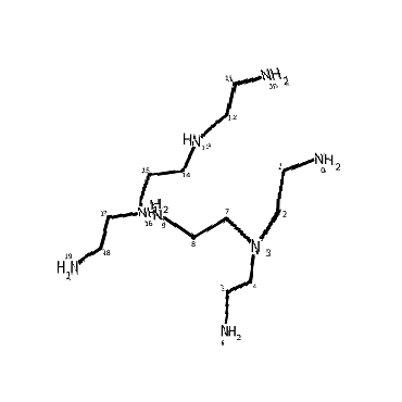 NCCN(CCN)CCN.NCCNCCNCCN